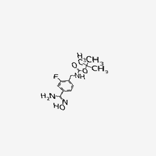 CC(C)(C)OC(=O)NCc1ccc(C(N)=NO)cc1F